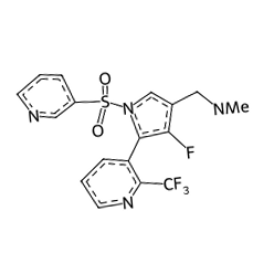 CNCc1cn(S(=O)(=O)c2cccnc2)c(-c2cccnc2C(F)(F)F)c1F